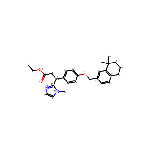 CCOC(=O)C[C@@H](c1ccc(OCc2ccc3c(c2)C(C)(C)CCC3)cc1)c1nccn1C